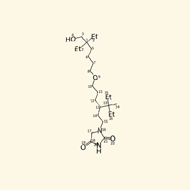 CCC(CC)(CO)CCCCOCCCC(CCN1CC(=O)NC1=O)C(C)(CC)CC